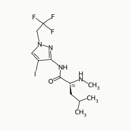 CN[C@@H](CC(C)C)C(=O)Nc1nn(CC(F)(F)F)cc1I